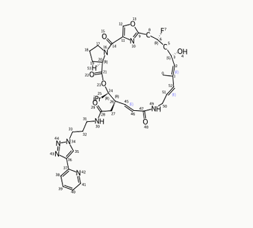 CC1=C\[C@@H](O)C[C@@H](F)Cc2nc(co2)C(=O)N2CCC[C@@H]2C(=O)O[C@H](C(C)C)[C@H](CC(=O)NCCCn2cc(-c3ccccn3)nn2)/C=C/C(=O)NC\C=C\1